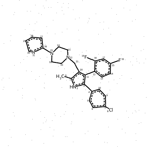 Cc1[nH]c(-c2ccc(Cl)cc2)c(-c2ccc(F)cc2F)c1CN1CCN(c2ccccn2)CC1